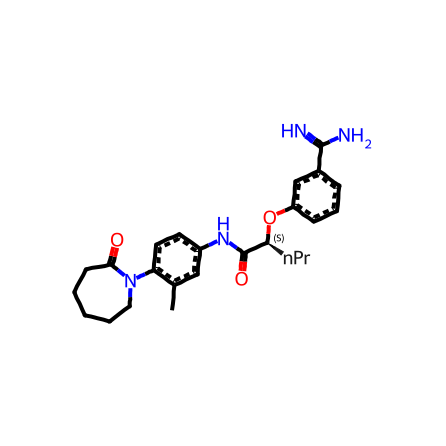 CCC[C@H](Oc1cccc(C(=N)N)c1)C(=O)Nc1ccc(N2CCCCCC2=O)c(C)c1